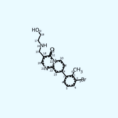 Cc1c(Br)cccc1-c1ccn2c(=O)c(CNCCO)cnc2c1